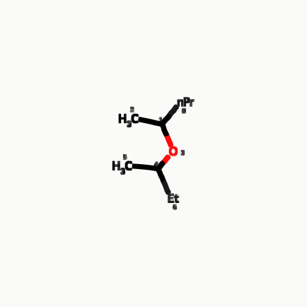 CCCC(C)OC(C)CC